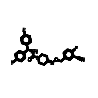 N#Cc1cc(CON=C2CCN(C(=O)NC(c3ccc(F)cc3)c3ccc(F)cc3)CC2)ccc1F